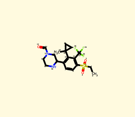 CCS(=O)(=O)c1ccc(C2CN(C=O)CCN2)c(C2(C)CC2)c1C(F)(F)F